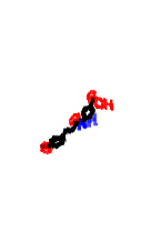 COc1ccc(C=CC(=O)Nc2ccc(C(=O)O)cc2)cc1